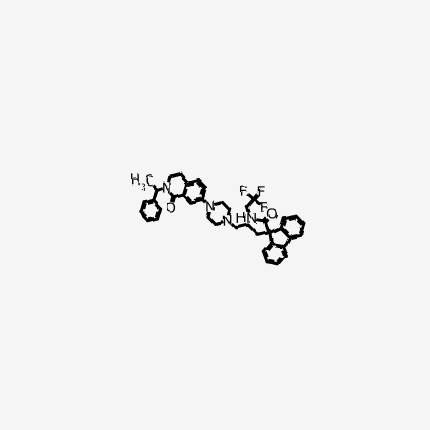 CC(c1ccccc1)N1CCc2ccc(N3CCN(CCCC4(C(=O)NCC(F)(F)F)c5ccccc5-c5ccccc54)CC3)cc2C1=O